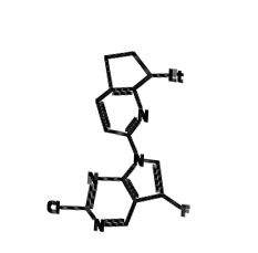 CCC1CCc2ccc(-n3cc(F)c4cnc(Cl)nc43)nc21